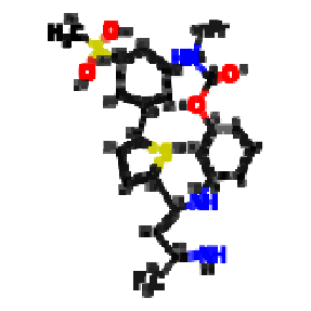 CCCNC(=O)Oc1cccc(N/C(=C\C(=N)C(F)(F)F)c2ccc(-c3cccc(S(C)(=O)=O)c3)s2)c1